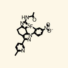 CC(=O)Nc1nc2c(s1)-c1c(c(-c3ccc(C)nc3)nn1-c1ccc([N+](=O)[O-])cc1F)CC2